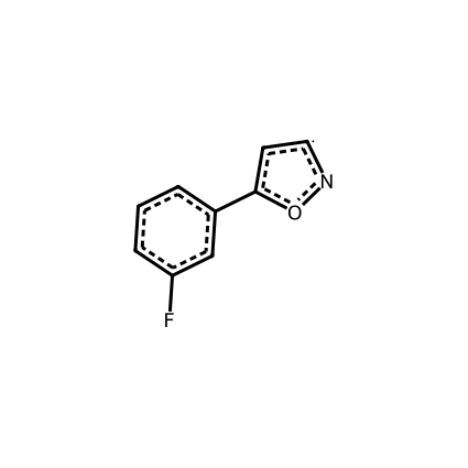 Fc1cccc(-c2c[c]no2)c1